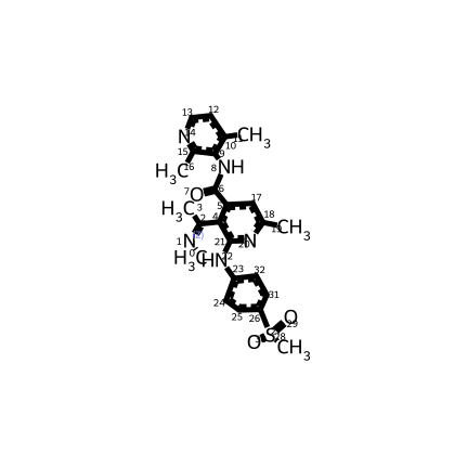 C/N=C(/C)c1c(C(=O)Nc2c(C)ccnc2C)cc(C)nc1Nc1ccc(S(C)(=O)=O)cc1